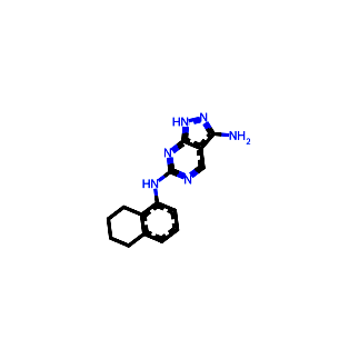 Nc1n[nH]c2nc(Nc3cccc4c3CCCC4)ncc12